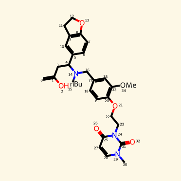 C=C(O)CC(c1ccc2c(c1)CCO2)N(CCCC)Cc1ccc(OCCn2c(=O)ccn(C)c2=O)c(OC)c1